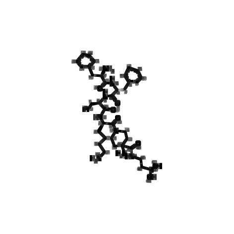 CC(C)C[C@@H](NC(=O)[C@@H](Cc1ccccc1)NC(=O)[C@H](N)Cc1ccccc1)C(=O)N[C@H](CCCCN)C(=O)N1CCC(N)(C(=O)NCCB(O)O)CC1